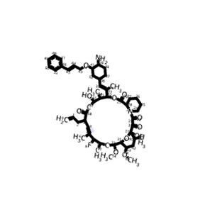 C=CCC1/C=C(\C)C(F)C(C)CC(OC)C2OC(O)(C(=O)C(=O)N3CCCCC3C(=O)OC(C(C)=CC3CCC(N)C(OCC=Cc4ccccc4)C3)C(C)C(O)CC1=O)C(C)CC2OC